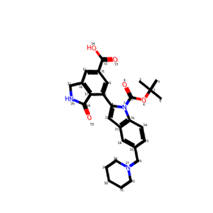 CC(C)(C)OC(=O)n1c(-c2cc(C(=O)O)cc3c2C(=O)NC3)cc2cc(CN3CCCCC3)ccc21